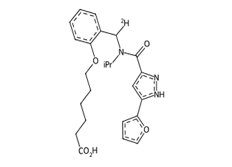 [2H]C(c1ccccc1OCCCCCC(=O)O)N(C(=O)c1cc(-c2ccco2)[nH]n1)C(C)C